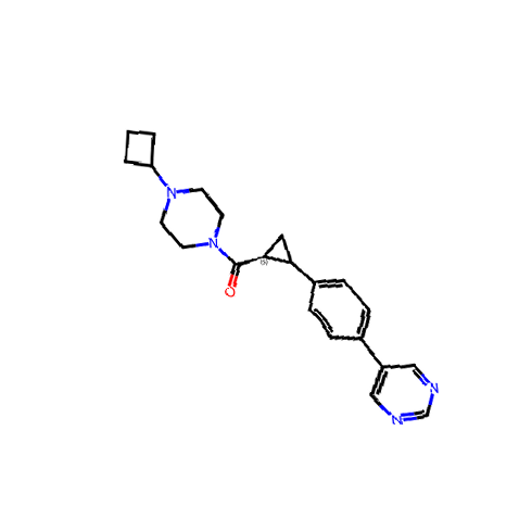 O=C([C@H]1CC1c1ccc(-c2cncnc2)cc1)N1CCN(C2CCC2)CC1